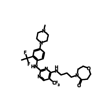 CN1CCN(c2ccc(Nc3ncc(C(F)(F)F)c(NCCCN4CCOCCC4=O)n3)c(C(C)(F)F)c2)CC1